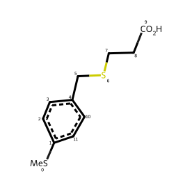 CSc1ccc(CSCCC(=O)O)cc1